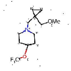 COCC1(CN2CCC(OC(F)(F)F)CC2)CC1